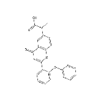 CC(C(=O)O)c1ccc2oc(-c3ccccc3Oc3ccccc3)cc(=O)c2c1